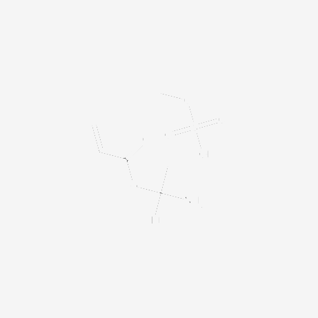 C=CC(=O)OC(C)(N)CC.COS(=O)(=O)O